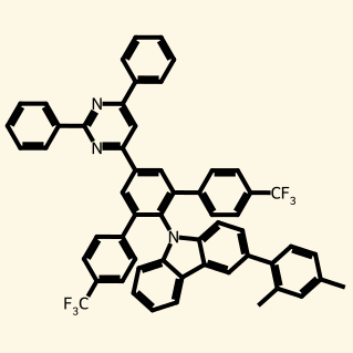 Cc1ccc(-c2ccc3c(c2)c2ccccc2n3-c2c(-c3ccc(C(F)(F)F)cc3)cc(-c3cc(-c4ccccc4)nc(-c4ccccc4)n3)cc2-c2ccc(C(F)(F)F)cc2)c(C)c1